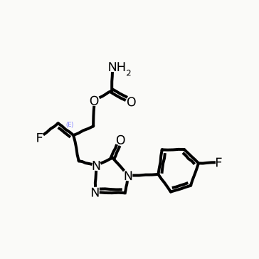 NC(=O)OC/C(=C/F)Cn1ncn(-c2ccc(F)cc2)c1=O